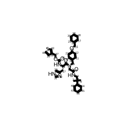 CC(C)(CNC(=O)CN(Cc1ccc(OCc2ccccc2)cc1)C(=O)[C@H](Cc1c[nH]cn1)NC(=O)OCc1ccsc1)c1ccccc1